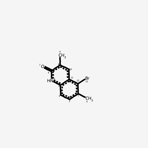 Cc1ccc2[nH]c(=O)c(C)cc2c1Br